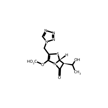 CC(O)[C@H]1C(=O)N2C(OC(=O)O)=C(Cn3cnnn3)S[C@H]12